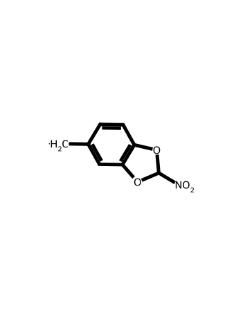 [CH2]c1ccc2c(c1)OC([N+](=O)[O-])O2